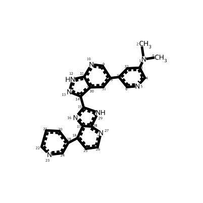 CN(C)c1cncc(-c2cnc3[nH]nc(-c4nc5c(-c6cccnc6)ccnc5[nH]4)c3c2)c1